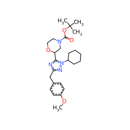 COc1ccc(Cc2nc(C3CN(C(=O)OC(C)(C)C)CCO3)n(C3CCCCC3)n2)cc1